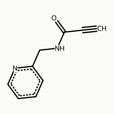 C#CC(=O)NCc1ccccn1